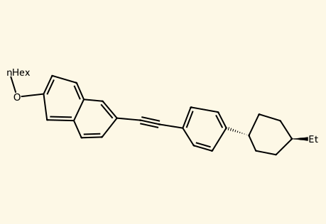 CCCCCCOc1ccc2cc(C#Cc3ccc([C@H]4CC[C@H](CC)CC4)cc3)ccc2c1